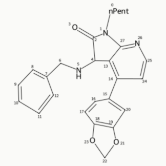 CCCCCN1C(=O)C(NCc2ccccc2)c2c(-c3ccc4c(c3)OCO4)ccnc21